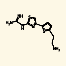 N=C(N)Nc1nc(-c2ccc(CCN)s2)cs1